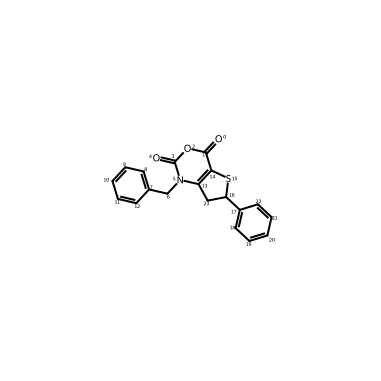 O=c1oc(=O)n(Cc2ccccc2)c2c1SC(c1ccccc1)C2